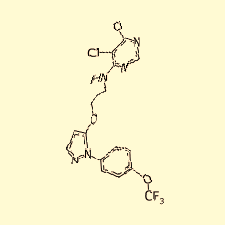 FC(F)(F)Oc1ccc(-n2nccc2OCCNc2ncnc(Cl)c2Cl)cc1